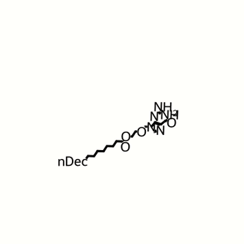 CCCCCCCCCCCCCCCCCC(=O)OCCOCn1cnc2c(=O)[nH]c(N)nc21